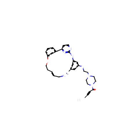 CC#CC(=O)N1CCN(CCNc2cc3cc(c2)Nc2nccc(n2)-c2cccc(c2)OCC/C=C/CNC3)CC1